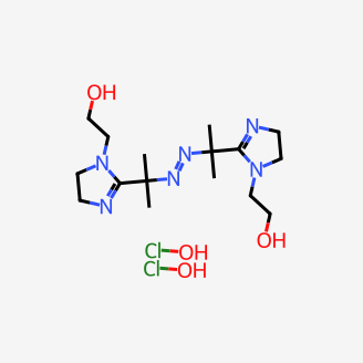 CC(C)(N=NC(C)(C)C1=NCCN1CCO)C1=NCCN1CCO.OCl.OCl